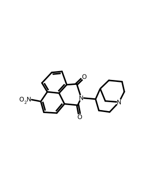 O=C1c2cccc3c([N+](=O)[O-])ccc(c23)C(=O)N1C1CCN2CCCC1C2